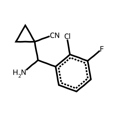 N#CC1(C(N)c2cccc(F)c2Cl)CC1